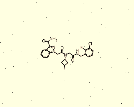 CC1CC(N(CC(=O)NCc2cccc(Cl)c2F)C(=O)Cn2nc(C(N)=O)c3ccccc32)C1